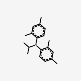 Cc1ccc(N(c2ccc(C)cc2C)C(C)C)c(C)c1